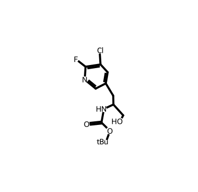 CC(C)(C)OC(=O)NC(CO)Cc1cnc(F)c(Cl)c1